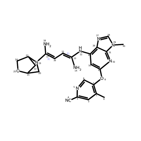 Cc1cc(C#N)ncc1Oc1cc(N/C(N)=C/C=C(\N)N2CC3CC2CO3)c2ncn(C)c2n1